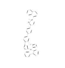 c1ccc2c(c1)-c1ccccc1C21c2ccccc2-n2c3cc(-c4ccc(-c5ccc(-c6cccc7ccccc67)nn5)cc4)ccc3c3cccc1c32